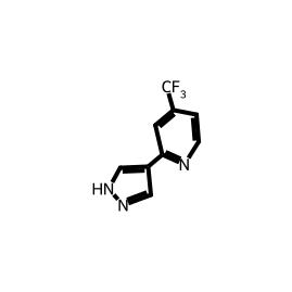 FC(F)(F)c1ccnc(-c2cn[nH]c2)c1